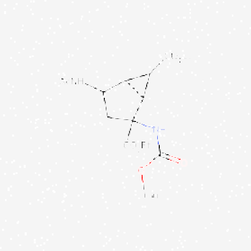 CCOC(=O)C1C2C(NC(C)=O)CC(NC(=O)OC(C)(C)C)(C(=O)OCC)C12